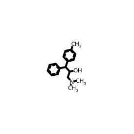 Cc1ccc(C(c2ccccc2)C(O)CN(C)C)cc1